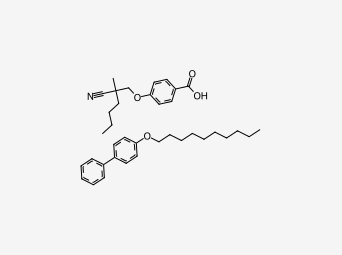 CCCCC(C)(C#N)COc1ccc(C(=O)O)cc1.CCCCCCCCCCOc1ccc(-c2ccccc2)cc1